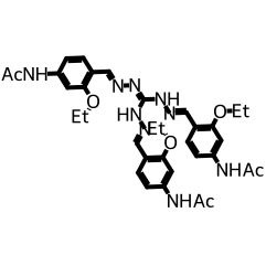 CCOc1cc(NC(C)=O)ccc1/C=N/N=C(N/N=C/c1ccc(NC(C)=O)cc1OCC)N/N=C/c1ccc(NC(C)=O)cc1OCC